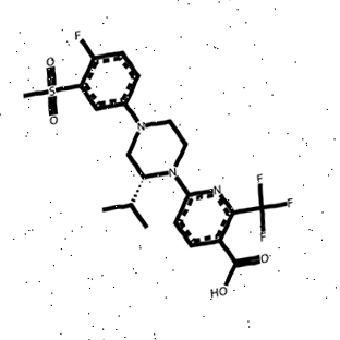 CC(C)[C@@H]1CN(c2ccc(F)c(S(C)(=O)=O)c2)CCN1c1ccc(C(=O)O)c(C(F)(F)F)n1